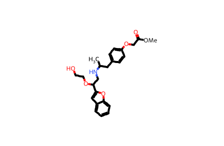 COC(=O)COc1ccc(CC(C)NCC(OCCO)c2cc3ccccc3o2)cc1